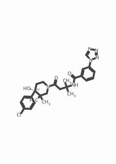 CC(C)(CC(=O)N1CC[C@](O)(c2ccc(Cl)cc2)C(C)(C)C1)NC(=O)c1cccc(-n2cnnn2)c1